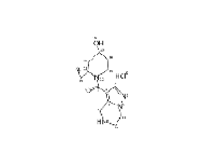 Cl.O=C(c1cnn2c1CNCC2)N1CCC(O)CC12CC2